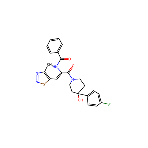 Cc1nnsc1/C=C(\NC(=O)c1ccccc1)C(=O)N1CCC(O)(c2ccc(Br)cc2)CC1